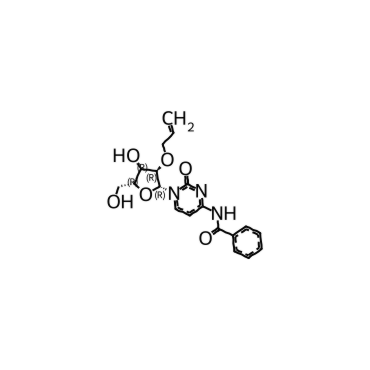 C=CCO[C@@H]1[C@H](O)[C@@H](CO)O[C@H]1n1ccc(NC(=O)c2ccccc2)nc1=O